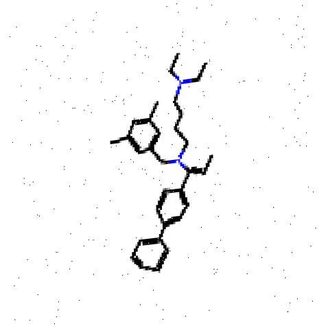 C/C=C(/c1ccc(-c2ccccc2)cc1)N(CCCCN(CC)CC)Cc1cc(C)cc(C)c1